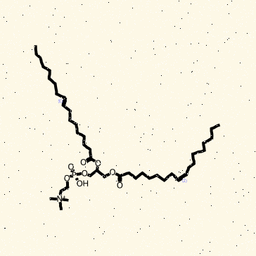 CCCCCCCC/C=C\CCCCCCCC(=O)OCC(COP(=O)(O)OCC[N+](C)(C)C)OC(=O)CCCCCCC/C=C/CCCCCCCC